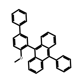 COc1ccc(-c2ccccc2)cc1-c1c2ccccc2c(-c2ccccc2)c2ccccc12